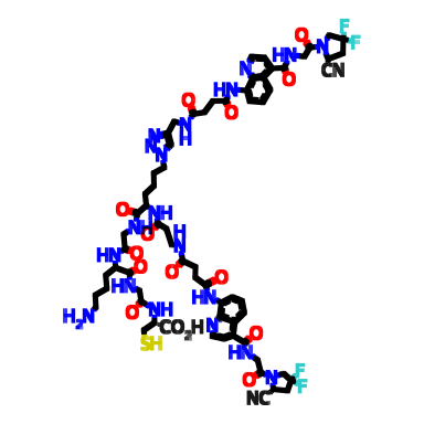 N#CC1CC(F)(F)CN1C(=O)CNC(=O)c1ccnc2c(NC(=O)CCC(=O)NCc3cn(CCCCC(NC(=O)CCNC(=O)CCC(=O)Nc4cccc5c(C(=O)NCC(=O)N6CC(F)(F)C[C@H]6C#N)ccnc45)C(=O)NCC(=O)NC(CCCCN)C(=O)NCC(=O)N[C@@H](CS)C(=O)O)nn3)cccc12